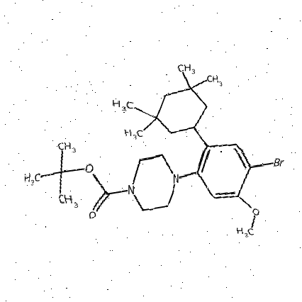 COc1cc(N2CCN(C(=O)OC(C)(C)C)CC2)c(C2CC(C)(C)CC(C)(C)C2)cc1Br